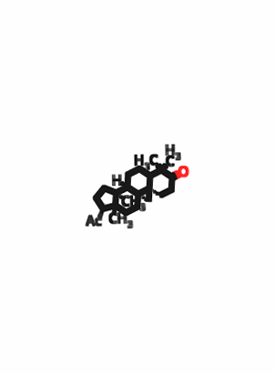 CC(=O)[C@H]1CC[C@@]2(C)[C@@H]3CCC4C(C)(C)C(=O)CC[C@@]45C[C@]35CC[C@]12C